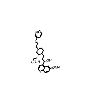 COc1ccc2nccc([C@H](O)CC[C@@H]3CCN(CCSc4ccnnc4)C[C@H]3CCC(=O)O)c2c1